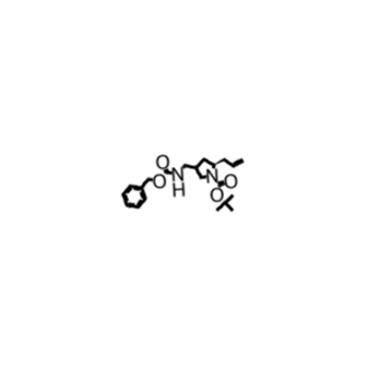 C=CC[C@@H]1CC(CNC(=O)OCc2ccccc2)CN1C(=O)OC(C)(C)C